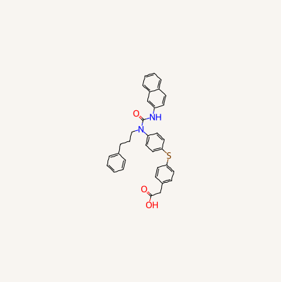 O=C(O)Cc1ccc(Sc2ccc(N(CCCc3ccccc3)C(=O)Nc3ccc4ccccc4c3)cc2)cc1